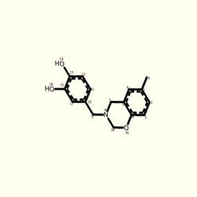 Cc1ccc2c(c1)CN(Cc1ccc(O)c(O)c1)CO2